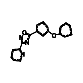 c1ccc(Oc2cccc(-c3nc(-c4ccccn4)no3)c2)cc1